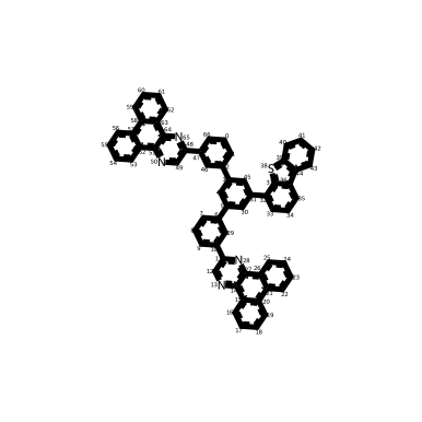 c1cc(-c2cc(-c3cccc(-c4cnc5c6ccccc6c6ccccc6c5n4)c3)cc(-c3cccc4c3sc3ccccc34)c2)cc(-c2cnc3c4ccccc4c4ccccc4c3n2)c1